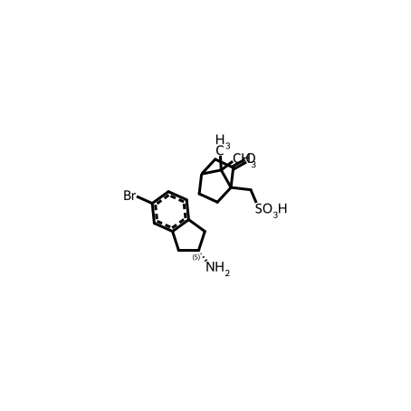 CC1(C)C2CCC1(CS(=O)(=O)O)C(=O)C2.N[C@H]1Cc2ccc(Br)cc2C1